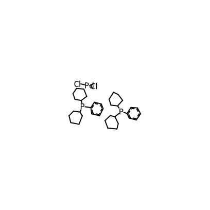 [Cl][Pd][Cl].c1ccc(P(C2CCCCC2)C2CCCCC2)cc1.c1ccc(P(C2CCCCC2)C2CCCCC2)cc1